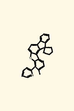 Cc1ccc2c(oc3ccc4c(c32)C2(CCCC2)c2ccccc2-4)c1-c1ccccn1